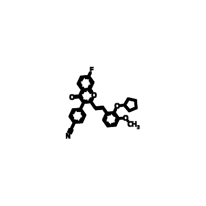 COc1cccc(C=Cc2oc3cc(F)ccc3c(=O)c2-c2ccc(C#N)cc2)c1OC1CCCC1